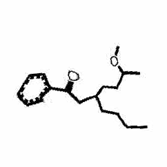 CCCCC(CCC(C)OC)CC(=O)c1ccccc1